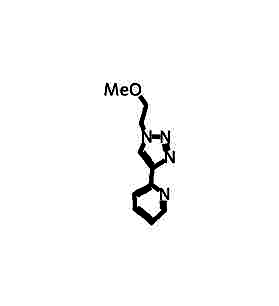 COCCn1cc(-c2ccccn2)nn1